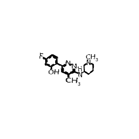 Cc1cc(-c2ccc(F)cc2O)nnc1N[C@@H]1CCCN(C)C1